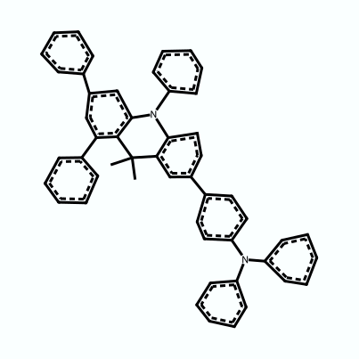 CC1(C)c2cc(-c3ccc(N(c4ccccc4)c4ccccc4)cc3)ccc2N(c2ccccc2)c2cc(-c3ccccc3)cc(-c3ccccc3)c21